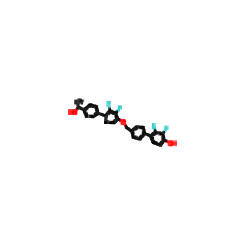 CCCC(O)c1ccc(-c2ccc(OCc3ccc(-c4ccc(O)c(F)c4F)cc3)c(F)c2F)cc1